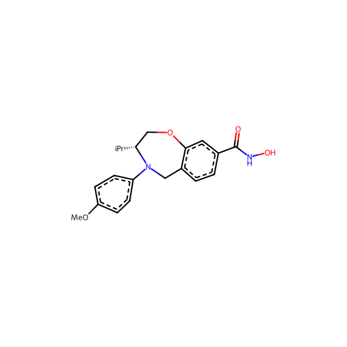 COc1ccc(N2Cc3ccc(C(=O)NO)cc3OC[C@H]2C(C)C)cc1